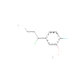 CCOc1cc(C(Cl)CCC=O)ccc1F